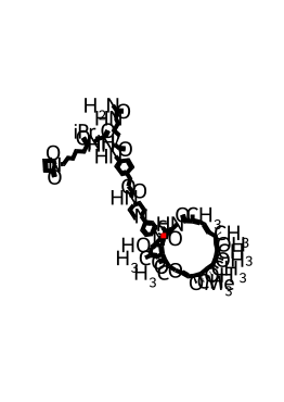 CO[C@H]1/C=C/O[C@@]2(C)Oc3c(C)c(O)c4c(=O)c(c5sc6cc(N7CCC(NC(=O)OCc8ccc(NC(=O)[C@H](CCCNC(N)=O)NC(=O)[C@@H](NC(=O)CCCCCN9C(=O)C=CC9=O)C(C)C)cc8)CC7)ccc6nc-5c4c3C2=O)NC(=O)/C(C)=C\C=C\[C@H](C)[C@H](O)[C@@H](C)[C@@H](O)[C@@H](C)[C@H](O)[C@@H]1C